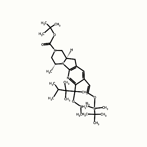 C[SiH2]OC(C)(c1nc2c(cc1C=CO[Si](C)(C)C(C)(C)C)C[C@@H]1CN(C(=O)OC(C)(C)C)C[C@@H](C)N21)C(C)(C)C(C)C